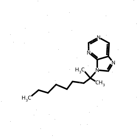 CCCCCCCC(C)(C)n1cnc2cncnc21